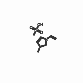 C=CN1C=CN(C)C1.CS(=O)(=O)O